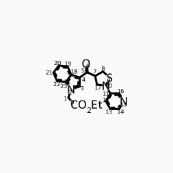 CCOC(=O)Cn1cc(C(=O)C2CSN(c3cccnc3)C2)c2ccccc21